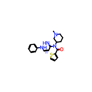 CN1CCCC(N(C(=N)/C=C\Nc2ccccc2)C(=O)c2cccs2)C1